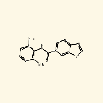 Cc1cccc(C)c1NC(=O)c1ccc2n[c]sc2c1